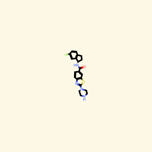 O=C(N[C@H]1CCc2ccc(F)cc21)c1ccc2nc(N3CCNCC3)sc2c1